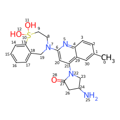 Cc1ccc2nc(N3CCS(O)(O)c4ccccc4C3)cc(N3CC(N)CC3=O)c2c1